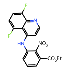 CCOC(=O)c1cccc(Nc2ccnc3c(F)ccc(F)c23)c1[N+](=O)[O-]